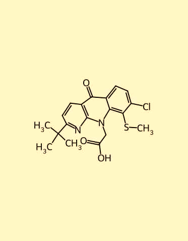 CSc1c(Cl)ccc2c(=O)c3ccc(C(C)(C)C)nc3n(CC(=O)O)c12